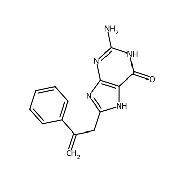 C=C(Cc1nc2nc(N)[nH]c(=O)c2[nH]1)c1ccccc1